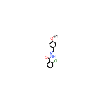 CC(C)Oc1ccc(/C=N/NC(=O)c2ccccc2Cl)cc1